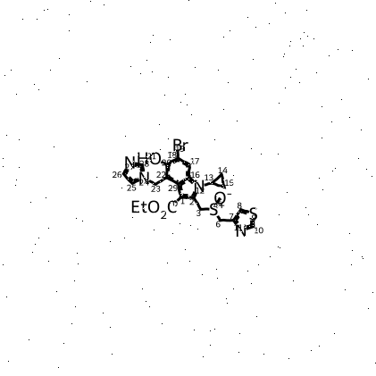 CCOC(=O)c1c(C[S+]([O-])Cc2cscn2)n(C2CC2)c2cc(Br)c(O)c(Cn3ccnc3)c12